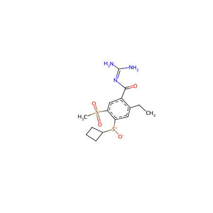 CCc1cc([S+]([O-])C2CCC2)c(S(C)(=O)=O)cc1C(=O)N=C(N)N